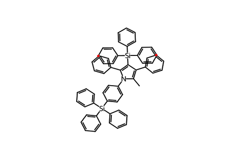 Cc1c(-c2ccccc2)c([Si](c2ccccc2)(c2ccccc2)c2ccccc2)c(-c2ccccc2)n1-c1ccc([Si](c2ccccc2)(c2ccccc2)c2ccccc2)cc1